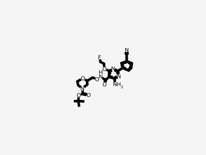 CC(C)(C)OC(=O)N1CCOC(CONC(=O)c2c(N)nc(-c3cccc(C#N)c3)nc2OCCF)C1